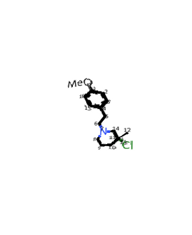 COc1ccc(CCN2CCC[C@@](C)(Cl)C2)cc1